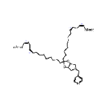 CCCCC/C=C\C/C=C\CCCCCCCCC1(CCCCCCCC/C=C\C/C=C\CCCCC)OC2CN(Cc3ccncc3)CC2O1